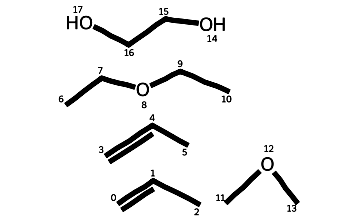 C=CC.C=CC.CCOCC.COC.OCCO